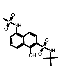 CC(C)(C)NS(=O)(=O)c1ccc2c(NS(C)(=O)=O)cccc2c1O